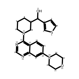 OC(c1ccsc1)C1CCCN(c2ncnc3cc(N4CCOCC4)ccc23)C1